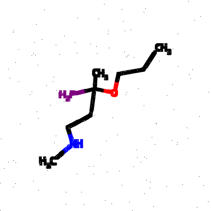 CCCOC(C)(P)CCNC